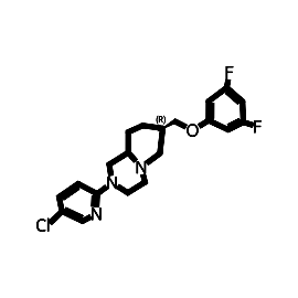 Fc1cc(F)cc(OC[C@@H]2CCC3CN(c4ccc(Cl)cn4)CCN3C2)c1